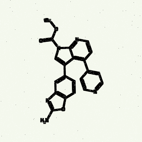 CC(C)(C)OC(=O)n1cc(-c2ccc3oc(N)nc3c2)c2c(-c3ccncc3)ccnc21